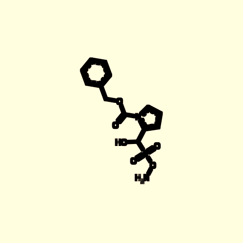 NOS(=O)(=O)C(O)c1cccn1C(=O)OCc1ccccc1